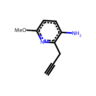 C#CCc1nc(OC)ccc1N